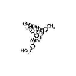 CCC(C)N(CC1CN(CCCOC)C2=C1CC(C)C=C2)C(=O)[C@H]1CN(C(=O)OC(C)(C)C)CC[C@@H]1c1cccc(C#Cc2ccc(C(=O)O)cc2)c1